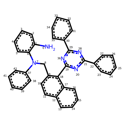 Nc1ccccc1N(Cc1ccc2ccccc2c1-c1nc(-c2ccccc2)nc(-c2ccccc2)n1)c1ccccc1